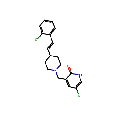 O=c1[nH]cc(Cl)cc1CN1CCC(C=Cc2ccccc2Cl)CC1